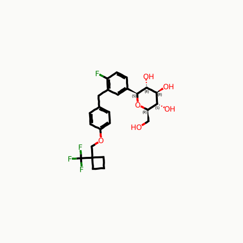 OC[C@H]1O[C@@H](c2ccc(F)c(Cc3ccc(OCC4(C(F)(F)F)CCC4)cc3)c2)[C@H](O)[C@@H](O)[C@@H]1O